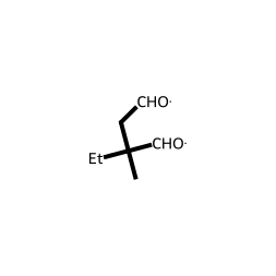 CCC(C)([C]=O)C[C]=O